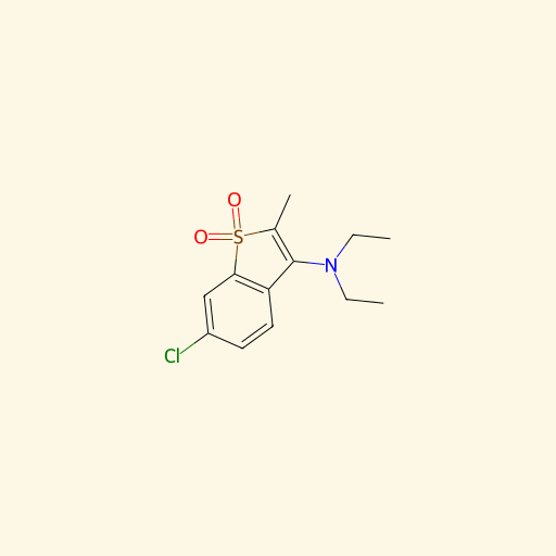 CCN(CC)C1=C(C)S(=O)(=O)c2cc(Cl)ccc21